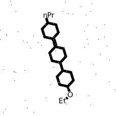 CCCC1CCC(=C2CCC(C3CCC(OCC)CC3)CC2)CC1